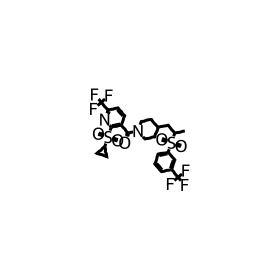 CC(CC1CCN(C(=O)c2ccc(C(F)(F)F)nc2S(=O)(=O)C2CC2)CC1)S(=O)(=O)c1cccc(C(F)(F)F)c1